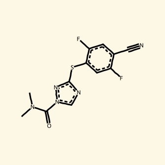 CN(C)C(=O)n1cnc(Sc2cc(F)c(C#N)cc2F)n1